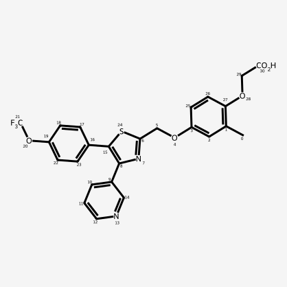 Cc1cc(OCc2nc(-c3cccnc3)c(-c3ccc(OC(F)(F)F)cc3)s2)ccc1OCC(=O)O